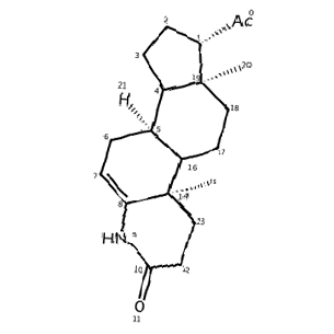 CC(=O)[C@H]1CCC2[C@@H]3CC=C4NC(=O)CC[C@]4(C)C3CC[C@@]21C